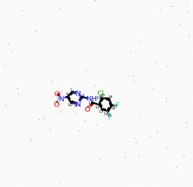 O=C(Nc1ncc([N+](=O)[O-])cn1)c1cc(F)c(F)cc1Cl